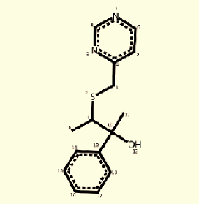 CC(SCc1ccncn1)C(C)(O)c1ccccc1